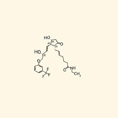 CCNC(=O)CCCC=CC[C@H]1C(=O)C[C@@H](O)[C@@H]1C=C[C@@H](O)COc1cccc(C(F)(F)F)c1